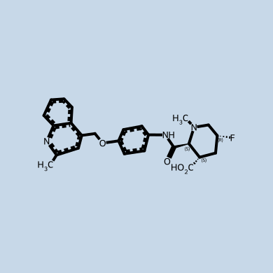 Cc1cc(COc2ccc(NC(=O)[C@@H]3[C@@H](C(=O)O)C[C@@H](F)CN3C)cc2)c2ccccc2n1